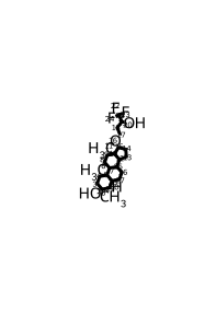 C[C@]1(O)CC[C@]2(C)C3CC[C@@]4(C)C(CC[C@@H]4OCCC(O)C(F)(F)F)C3CC[C@H]2C1